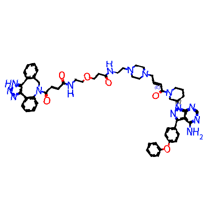 Nc1ncnc2c1c(-c1ccc(Oc3ccccc3)cc1)nn2[C@@H]1CCCN(C(=O)/C=C/CN2CCN(CCNC(=O)CCOCCNC(=O)CCC(=O)N3Cc4ccccc4-c4[nH]nnc4-c4ccccc43)CC2)C1